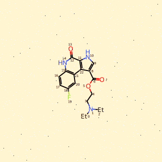 CCN(CC)CCOC(=O)c1c[nH]c2c(=O)[nH]c3ccc(F)cc3c12